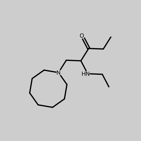 CCNC(CN1CCCCCCC1)C(=O)CC